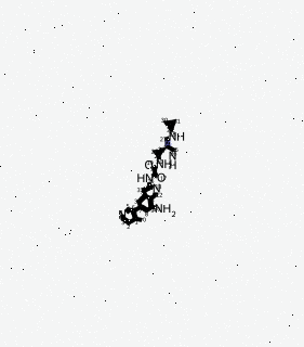 Cc1ccncc1-c1cc(N)c2cnc(NC(=O)C(=O)NC3C[C@@H]3/C(C=N)=C/NC3CC3)cc2c1